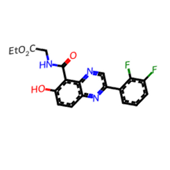 CCOC(=O)CNC(=O)c1c(O)ccc2nc(-c3cccc(F)c3F)cnc12